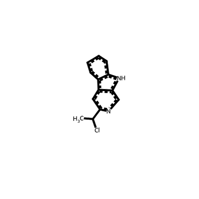 CC(Cl)c1cc2c(cn1)[nH]c1ccccc12